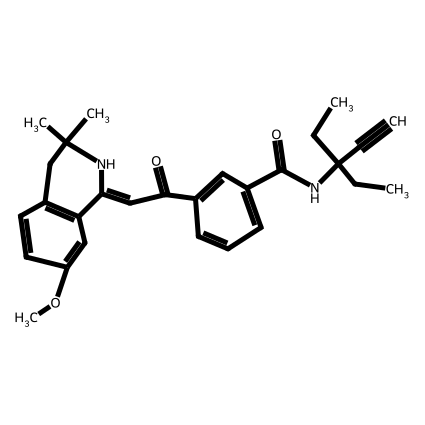 C#CC(CC)(CC)NC(=O)c1cccc(C(=O)/C=C2\NC(C)(C)Cc3ccc(OC)cc32)c1